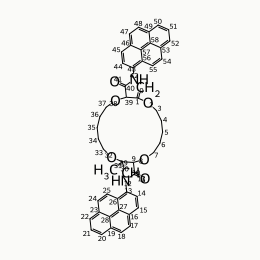 C=C1OCCCCCOC(C(=O)Nc2ccc3ccc4cccc5ccc2c3c45)C(C)(C)OCCCCCOC1C(=O)Nc1ccc2ccc3cccc4ccc1c2c34